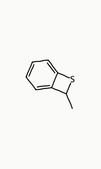 CC1Sc2ccccc21